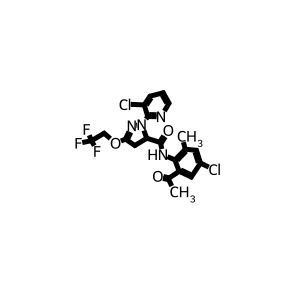 CC(=O)c1cc(Cl)cc(C)c1NC(=O)C1CC(OCC(F)(F)F)=NN1c1ncccc1Cl